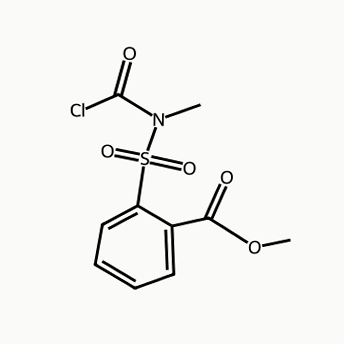 COC(=O)c1ccccc1S(=O)(=O)N(C)C(=O)Cl